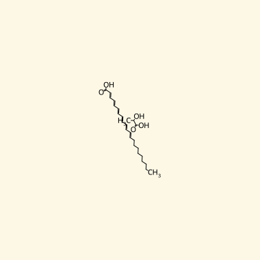 CC(O)C(=O)O.CCCCCCCCCC=CC=CC=CC=CC=CC=CC(=O)O